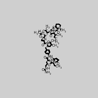 CCC(C(=O)N[C@@H](CCCNC(N)=O)C(=O)Nc1ccc(C[C@@H](CC(C)C(=O)O)NC(=O)c2csc([C@@H](C[C@H](C(C)C)N(COC)C(=O)[C@@H](NC(=O)[C@H]3CCCCN3C)[C@@H](C)CC)OC(C)=O)n2)cc1)N1C(=O)C=CC1=O